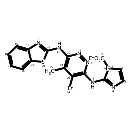 CCOC(=O)[SH]1C=CN=C1Nc1nnc(Nc2nc3ccccc3s2)c(C)c1CC